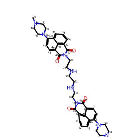 CN1CCN(c2ccc3c4c(cccc24)C(=O)N(CCNCCNCCN2C(=O)c4cccc5c(N6CCN(C)CC6)ccc(c45)C2=O)C3=O)CC1